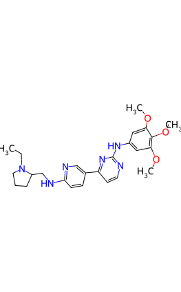 CCN1CCCC1CNc1ccc(-c2ccnc(Nc3cc(OC)c(OC)c(OC)c3)n2)cn1